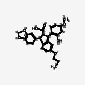 CCCOc1ccc2c(c1)C(c1ccc(OC)cc1O)C(C(=O)O)C2c1ccc2c(c1)OCO2